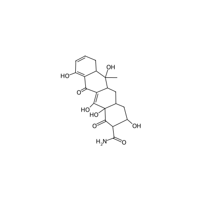 CC1(O)C2CC=CC(O)=C2C(=O)C2=C(O)C3(O)C(=O)C(C(N)=O)C(O)CC3CC21